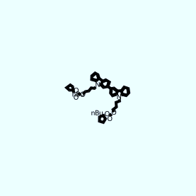 CCCCC1(OC(=O)OCCCCn2c3ccccc3c3cc(-c4ccc5c6ccccc6n(CCCCOC(=O)OC6(CCCC)CCCC6)c5c4)ccc32)CCCC1